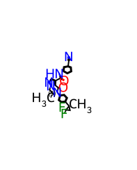 C[C@H]1Cn2ncc(C(=O)Nc3cccc(C#N)c3)c2C(=O)N1c1ccc(C2(C)CC2(F)F)cc1